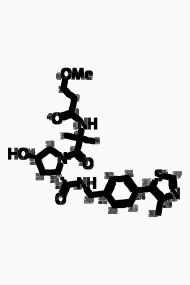 COCCC(=O)NC(C)(C)C(=O)N1C[C@H](O)C[C@H]1C(=O)NCc1ccc(-c2scnc2C)cc1